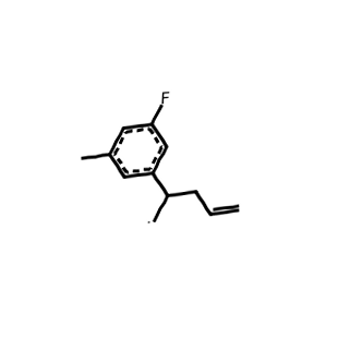 [CH2]C(CC=C)c1cc(C)cc(F)c1